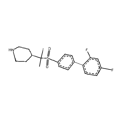 CC(C)(C1CCNCC1)S(=O)(=O)c1ccc(-c2ccc(F)cc2F)cc1